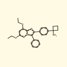 CCOc1cc(OCC)c2nc(-c3ccc(C4(N)CCC4)cc3)c(-c3ccccc3)n2n1